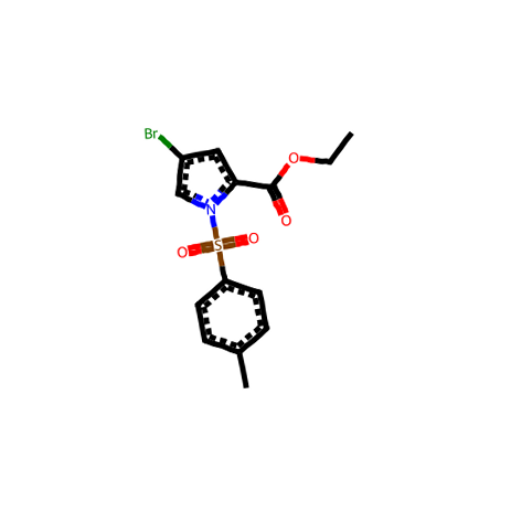 CCOC(=O)c1cc(Br)cn1S(=O)(=O)c1ccc(C)cc1